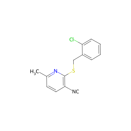 [C-]#[N+]c1ccc(C)nc1SCc1ccccc1Cl